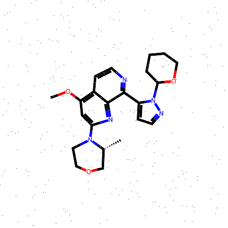 COc1cc(N2CCOC[C@H]2C)nc2c(-c3ccnn3C3CCCCO3)nccc12